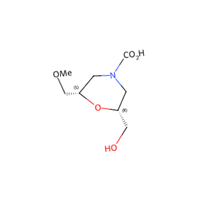 COC[C@@H]1CN(C(=O)O)C[C@H](CO)O1